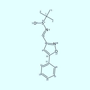 CC(C)(C)[S+]([O-])/N=C/c1cc(-c2ccccc2)on1